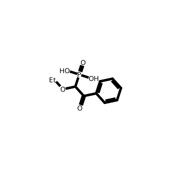 CCOC(C(=O)c1ccccc1)P(=O)(O)O